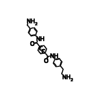 NCCc1ccc(NC(=O)C23CCC(C(=O)Nc4ccc(CN)cc4)(CC2)CC3)cc1